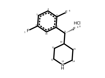 Cl.Fc1ccc(F)c([C@H](F)C2CCNCC2)c1